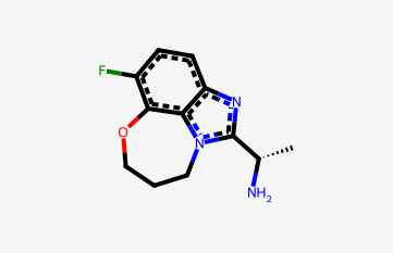 C[C@H](N)c1nc2ccc(F)c3c2n1CCCO3